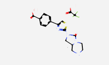 O=C(O)C(F)(F)F.O=C(O)c1ccc(-c2csc(N3C[C@@H]4CNCCN4C3=O)n2)cc1